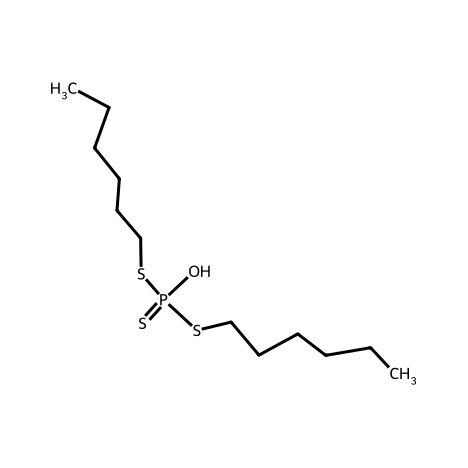 CCCCCCSP(O)(=S)SCCCCCC